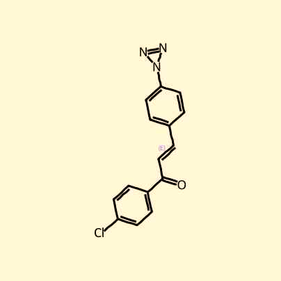 O=C(/C=C/c1ccc(N2N=N2)cc1)c1ccc(Cl)cc1